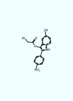 CC(C)CC(=O)Oc1c(-c2ccc([N+](=O)[O-])cc2)[nH]c2ccc(C#N)cc12